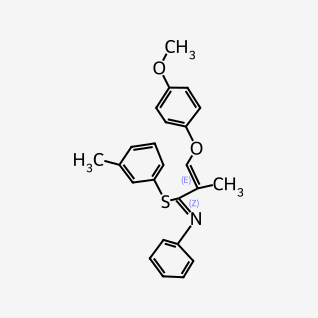 COc1ccc(O/C=C(C)/C(=N/c2ccccc2)Sc2cccc(C)c2)cc1